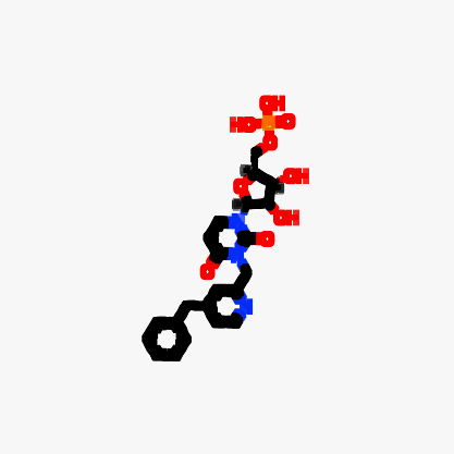 O=c1ccn([C@@H]2O[C@H](COP(=O)(O)O)[C@H](O)C2O)c(=O)n1Cc1cc(Cc2ccccc2)ccn1